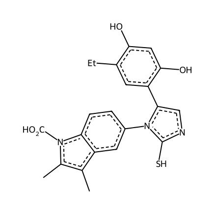 CCc1cc(-c2cnc(S)n2-c2ccc3c(c2)c(C)c(C)n3C(=O)O)c(O)cc1O